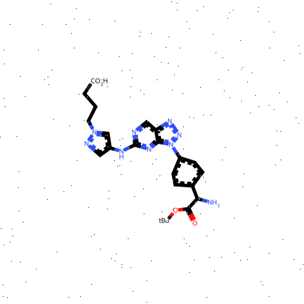 CC(C)(C)OC(=O)C(N)c1ccc(-n2nnc3cnc(Nc4cnn(CCCC(=O)O)c4)nc32)cc1